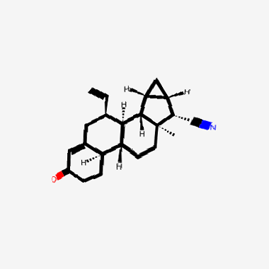 C=C[C@@H]1CC2=CC(=O)CC[C@@H]2[C@H]2CC[C@@]3(C)[C@@H]([C@@H]4C[C@@H]4[C@@H]3C#N)[C@@H]21